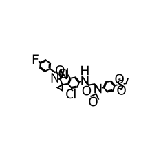 CCS(=O)(=O)c1ccc(N(CC(=O)Nc2cc(Cl)c(C3(c4noc(-c5ccc(F)cc5)n4)CC3)c(Cl)c2)C2COC2)cc1